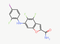 NC(=O)c1cc2c(F)c(F)c(Nc3ccc(I)cc3F)[c]c2o1